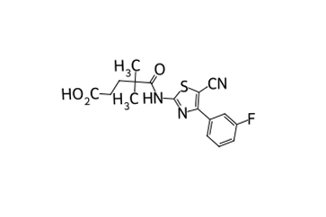 CC(C)(CCC(=O)O)C(=O)Nc1nc(-c2cccc(F)c2)c(C#N)s1